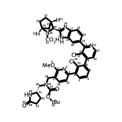 COc1nc(-c2cccc(-c3ccnc(-c4ccc5nc([C@@H]6[C@H]7CC[C@H](C7)N6C(=O)O)[nH]c5c4)c3Cl)c2Cl)ccc1CN(C[C@@H]1CCC(=O)N1)C(=O)OC(C)(C)C